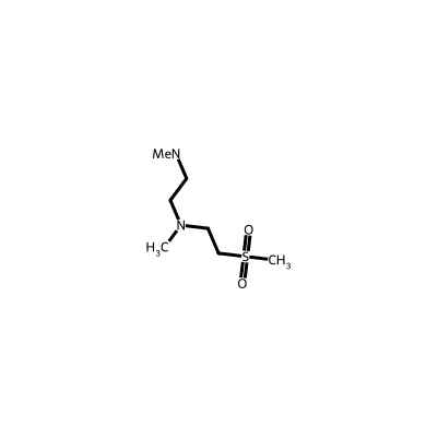 CNCCN(C)CCS(C)(=O)=O